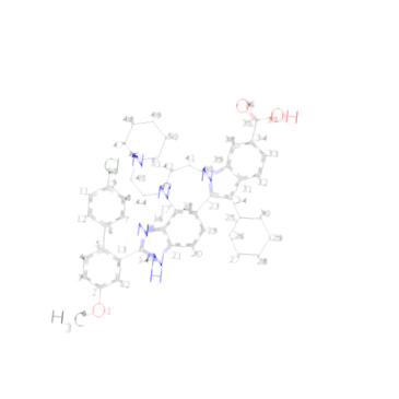 COc1ccc(-c2ccc(Cl)cc2)c(-c2nc3c4c(ccc3[nH]2)-c2c(C3CCCCC3)c3ccc(C(=O)O)cc3n2CCN4CCN2CCCCC2)c1